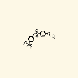 COCOc1ccc(S(=O)(=O)Cc2ccc([Si](C)(OC)OC)cc2)cc1